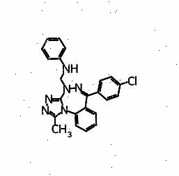 Cc1nnc2n1-c1ccccc1C(c1ccc(Cl)cc1)=NN2CNc1ccccc1